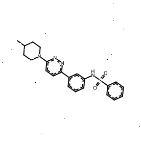 CC1CCN(c2ccc(-c3cccc(NS(=O)(=O)c4ccccc4)c3)nn2)CC1